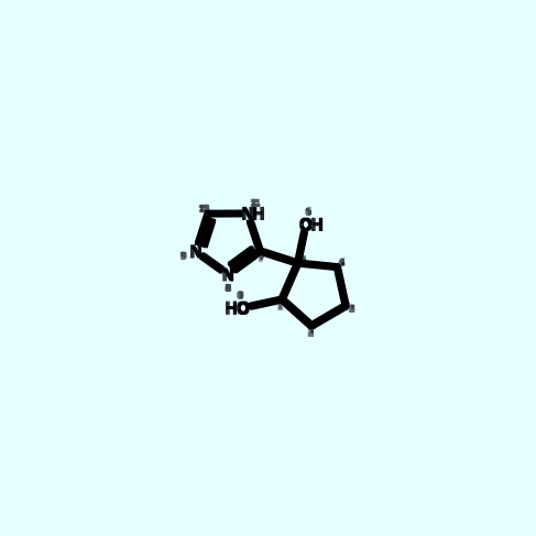 OC1CCCC1(O)c1nnc[nH]1